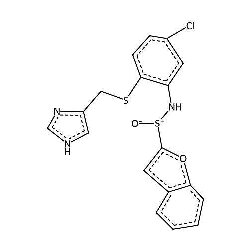 [O-][S+](Nc1cc(Cl)ccc1SCc1c[nH]cn1)c1cc2ccccc2o1